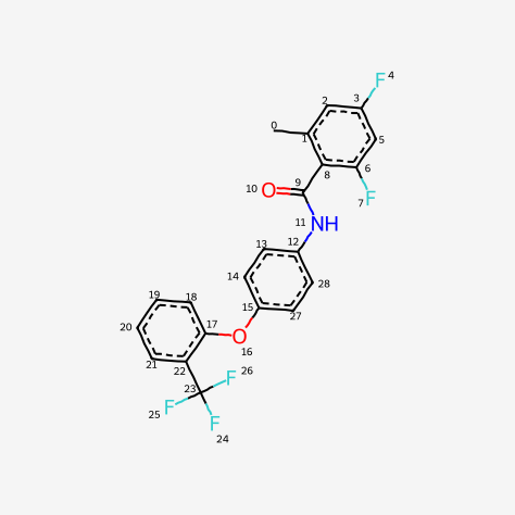 Cc1cc(F)cc(F)c1C(=O)Nc1ccc(Oc2ccccc2C(F)(F)F)cc1